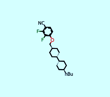 CCCC[C@H]1CC[C@H]([C@H]2CC[C@H](COc3ccc(C#N)c(F)c3F)CC2)CC1